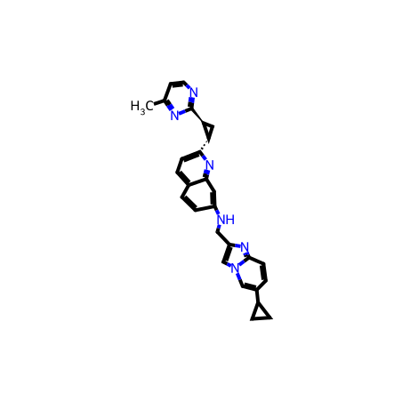 Cc1ccnc([C@H]2C[C@@H]2c2ccc3ccc(NCc4cn5cc(C6CC6)ccc5n4)cc3n2)n1